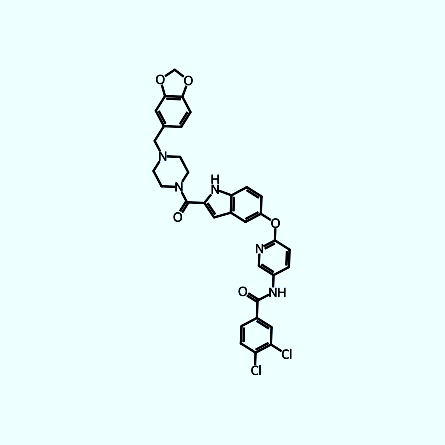 O=C(Nc1ccc(Oc2ccc3[nH]c(C(=O)N4CCN(Cc5ccc6c(c5)OCO6)CC4)cc3c2)nc1)c1ccc(Cl)c(Cl)c1